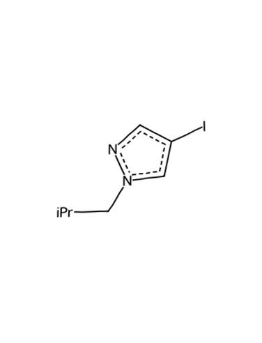 CC(C)Cn1cc(I)cn1